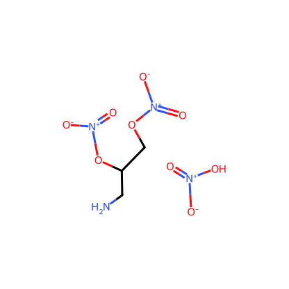 NCC(CO[N+](=O)[O-])O[N+](=O)[O-].O=[N+]([O-])O